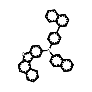 c1ccc2cc(N(c3ccc(-c4cccc5ccccc45)cc3)c3ccc4oc5ccc6ccccc6c5c4c3)ccc2c1